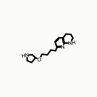 c1cc2c(nc1CCCCOC1CCNC1)NCCC2